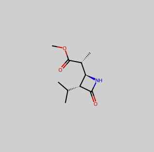 COC(=O)[C@H](C)[C@H]1NC(=O)[C@@H]1C(C)C